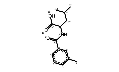 Cc1cccc(C(=O)NC(CC(C)C)C(=O)O)c1